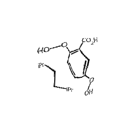 CC(C)CCC(C)C.O=C(O)c1cc(OO)ccc1OO